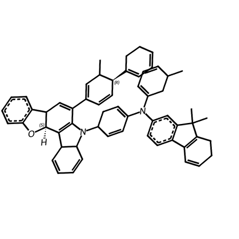 CC1C=CC=C(N(C2=CCC(N3C4=C(C5C=CC=CC53)[C@H]3Oc5ccccc5C3C=C4C3=CC(C)[C@@H](C4=CC=CCC4)C=C3)C=C2)c2ccc3c(c2)C(C)(C)C2=C3C=CCC2)C1